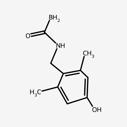 BC(=O)NCc1c(C)cc(O)cc1C